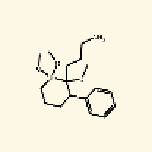 COC1(CCCN)C(c2ccccc2)CCC[Si]1(OC)OC